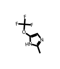 Cc1ncc(OC(F)(F)F)[nH]1